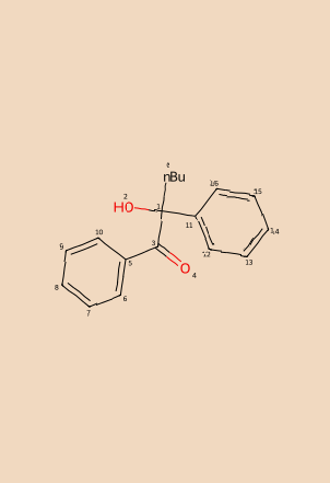 CCCCC(O)(C(=O)c1ccccc1)c1ccccc1